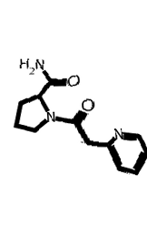 NC(=O)C1CCCN1C(=O)[CH]c1ccccn1